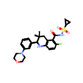 CC1(C)Cc2c(ccc(F)c2C(=O)NS(=O)(=O)C2CC2)NC1c1cccc(N2CCOCC2)c1